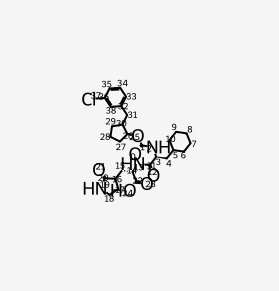 O=C(N[C@@H](CC1CCCCC1)C(=O)N[C@@H](CC1CCNC1=O)C(=O)O)OC1CCCC1Cc1cccc(Cl)c1